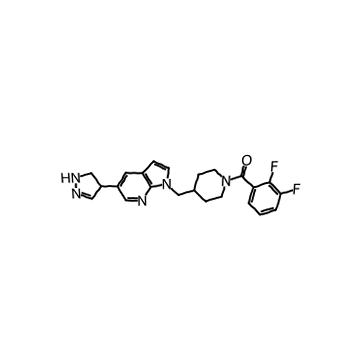 O=C(c1cccc(F)c1F)N1CCC(Cn2ccc3cc(C4C=NNC4)cnc32)CC1